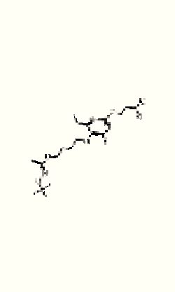 CCc1cc(OCC=C(Cl)Cl)cc(C)c1OCCCCOC(C)=NOC(C)(C)C